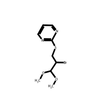 COC(OC)C(Br)CSc1ncccn1